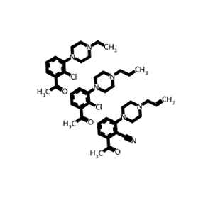 C=CCN1CCN(c2cccc(C(C)=O)c2C#N)CC1.CCCN1CCN(c2cccc(C(C)=O)c2Cl)CC1.CCN1CCN(c2cccc(C(C)=O)c2Cl)CC1